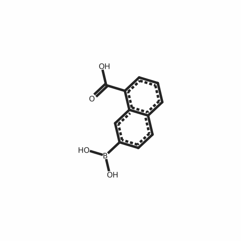 O=C(O)c1cccc2ccc(B(O)O)cc12